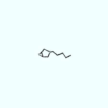 CCCCCN1CC2OC2C1